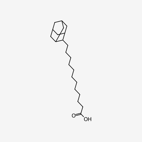 O=C(O)CCCCCCCCCCCC1C2CC3CC(C2)CC1C3